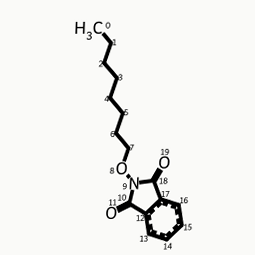 CCCCCCCCON1C(=O)c2ccccc2C1=O